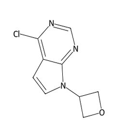 Clc1ncnc2c1ccn2C1COC1